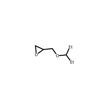 [CH2]CC(CC)OCC1CO1